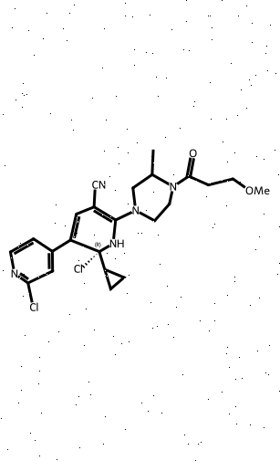 COCCC(=O)N1CCN(C2=C(C#N)C=C(c3ccnc(Cl)c3)[C@](Cl)(C3CC3)N2)CC1C